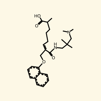 CC(CCCC=C(COc1cccc2ccccc12)C(=O)NCC(C)(C)CN(C)C)C(=O)O